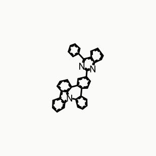 c1ccc(-c2nc(-c3ccc4c(c3)-c3cccc5c6ccccc6n(c35)-c3ccccc3-4)nc3ccccc23)cc1